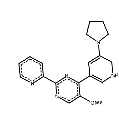 COc1cnc(-c2ccccn2)nc1C1=[C]NCC(N2CCCC2)=C1